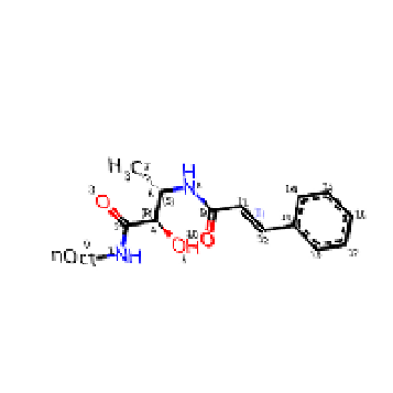 CCCCCCCCNC(=O)[C@H](O)[C@H](C)NC(=O)/C=C/c1ccccc1